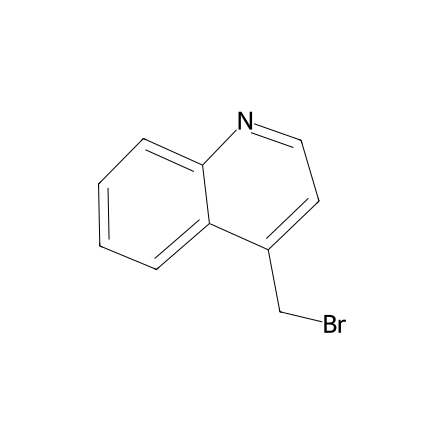 BrCc1ccnc2ccccc12